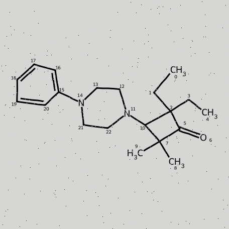 CCC1(CC)C(=O)C(C)(C)C1N1CCN(c2ccccc2)CC1